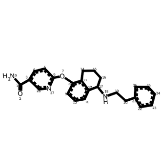 NC(=O)c1ccc(Oc2cccc3c2CCCC3NCCc2ccccc2)nc1